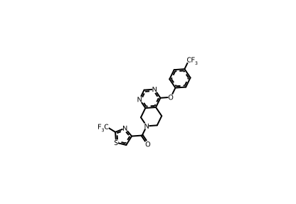 O=C(c1csc(C(F)(F)F)n1)N1CCc2c(ncnc2Oc2ccc(C(F)(F)F)cc2)C1